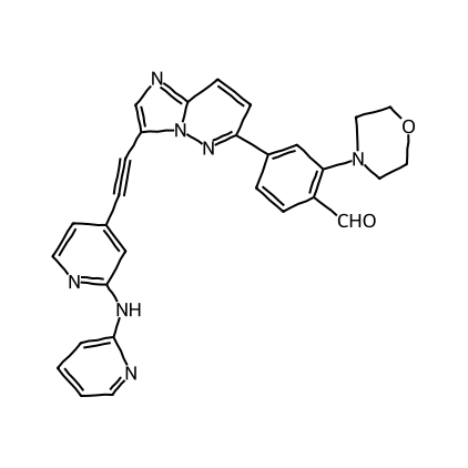 O=Cc1ccc(-c2ccc3ncc(C#Cc4ccnc(Nc5ccccn5)c4)n3n2)cc1N1CCOCC1